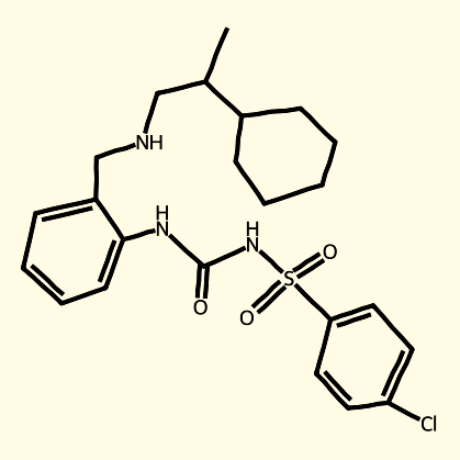 CC(CNCc1ccccc1NC(=O)NS(=O)(=O)c1ccc(Cl)cc1)C1CCCCC1